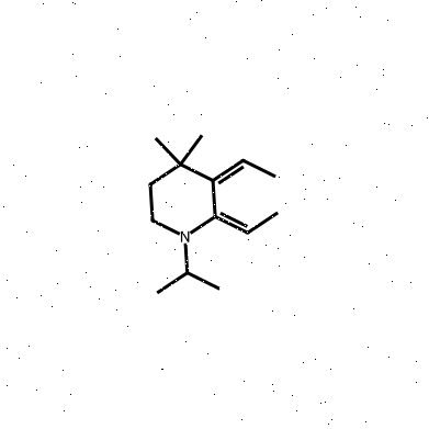 C/C=C1\C(=C/C)N(C(C)C)CCC1(C)C